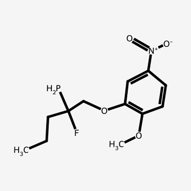 CCCC(F)(P)COc1cc([N+](=O)[O-])ccc1OC